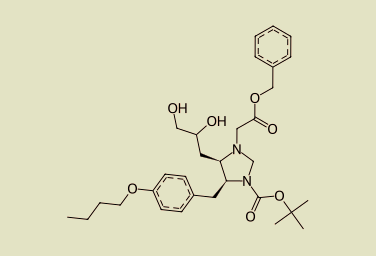 CCCCOc1ccc(C[C@H]2[C@@H](CC(O)CO)N(CC(=O)OCc3ccccc3)CN2C(=O)OC(C)(C)C)cc1